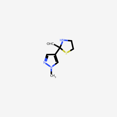 Cn1cc(C2([C]=O)NCCS2)cn1